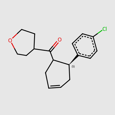 O=C(C1CCOCC1)C1CC=CC[C@@H]1c1ccc(Cl)cc1